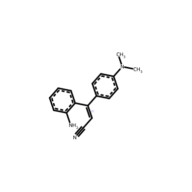 CN(C)c1ccc(/C(=C/C#N)c2ccccc2N)cc1